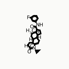 C[C@]12CCC(=O)N(C3CC3)C1=CC[C@@H]1[C@H]2CC[C@]2(C)C(C(=O)Nc3cccc(F)c3)CC[C@@H]12